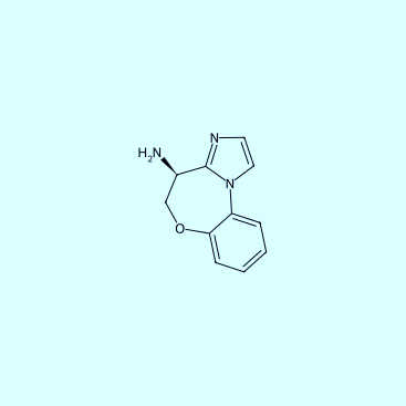 N[C@@H]1COc2ccccc2-n2ccnc21